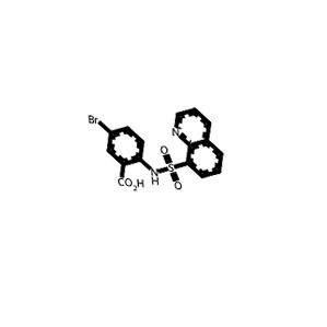 O=C(O)c1cc(Br)ccc1NS(=O)(=O)c1cccc2cccnc12